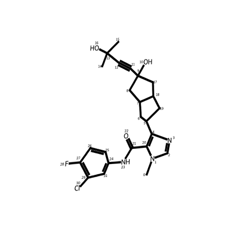 Cn1cnc(C2CC3CC(O)(C#CC(C)(C)O)CC3C2)c1C(=O)Nc1ccc(F)c(Cl)c1